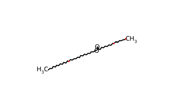 CCCCCC/C=C/CCCCCCCCCC(=O)OCCCCCCCCCCCCCCCCCCCCCCCCCCCCC